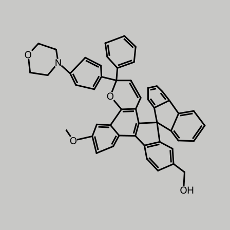 COc1ccc2c3c(c4c(c2c1)OC(c1ccccc1)(c1ccc(N2CCOCC2)cc1)C=C4)C1(c2ccccc2-c2ccccc21)c1cc(CO)ccc1-3